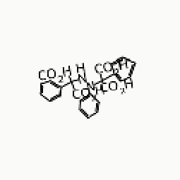 O=C(O)C(NN(c1ccccc1)C(C(=O)O)(C(=O)O)c1ccccc1)(C(=O)O)c1ccccc1